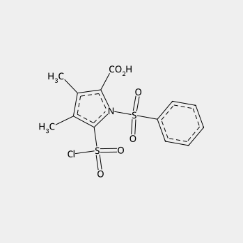 Cc1c(C)c(S(=O)(=O)Cl)n(S(=O)(=O)c2ccccc2)c1C(=O)O